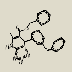 CC1=C(C(=O)OCc2ccccc2)C(c2cccc(Oc3ccccc3)c2)n2nnnc2N1